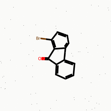 O=C1c2ccccc2-c2cccc(Br)c21